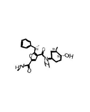 CNC(=O)c1cc(C(=O)NC2CC[C@@H](O)[C@H](C)C2)c([C@@H](C)c2ccccc2)o1